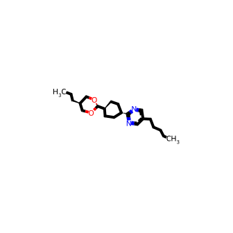 CCCCCc1cnc([C@H]2CC[C@H]([C@H]3OC[C@H](CCC)CO3)CC2)nc1